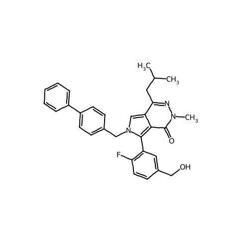 CC(C)Cc1nn(C)c(=O)c2c(-c3cc(CO)ccc3F)n(Cc3ccc(-c4ccccc4)cc3)cc12